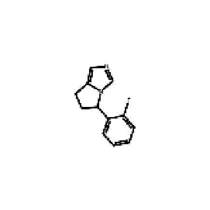 Fc1ccccc1C1CCc2cncn21